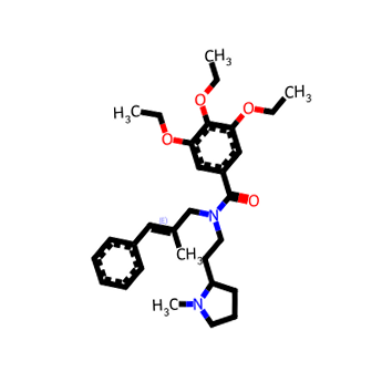 CCOc1cc(C(=O)N(CCC2CCCN2C)C/C(C)=C/c2ccccc2)cc(OCC)c1OCC